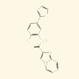 O=C(Nc1cc(-c2cccs2)ccc1[N+](=O)[O-])c1cn2ccccc2n1